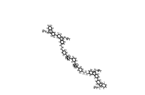 CC(C)Cn1c2ccccc2c2cc(-c3ccc4c(c3)c3cc(CCCc5ccc(-c6nnc(-c7cccc(-c8nnc(-c9ccc(CCCc%10ccc%11c(c%10)c%10cc(-c%12ccc%13c(c%12)c%12ccccc%12n%13CC(C)C)ccc%10n%11CC(C)C)cc9)o8)c7)o6)cc5)ccc3n4CC(C)C)ccc21